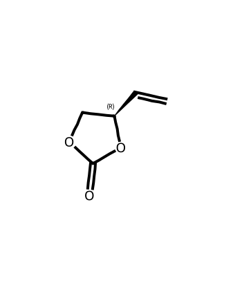 C=C[C@@H]1COC(=O)O1